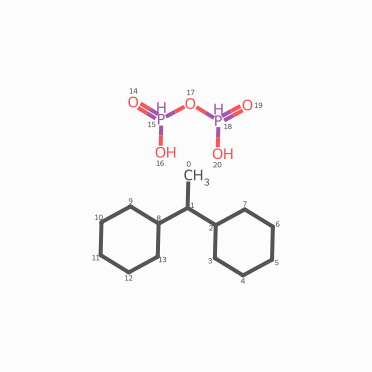 CC(C1CCCCC1)C1CCCCC1.O=[PH](O)O[PH](=O)O